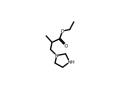 CCOC(=O)C(C)CN1CCNC1